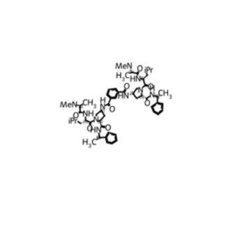 CN[C@@H](C)C(=O)N[C@@H](CC(C)C)C(=O)N1C[C@@H](NC(=O)c2cccc(C(=O)N[C@H]3C[C@@H](C(=O)N[C@H](C)c4ccccc4)N(C(=O)[C@H](CC(C)C)NC(=O)[C@H](C)NC)C3)c2)C[C@H]1C(=O)N[C@H](C)c1ccccc1